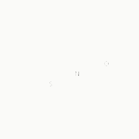 [c]1ccsc1N1CCOCC1